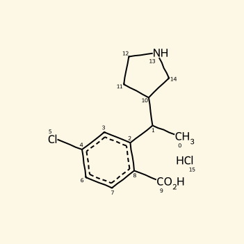 CC(c1cc(Cl)ccc1C(=O)O)C1CCNC1.Cl